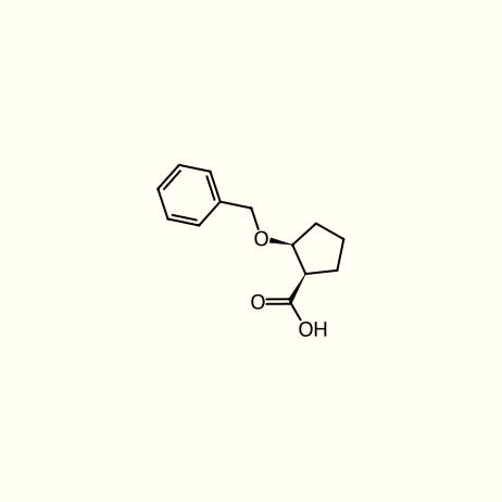 O=C(O)[C@@H]1CCC[C@@H]1OCc1ccccc1